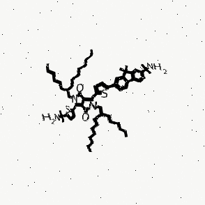 CCCCCCCCC(CCCCCC)CN1C(=O)C2=C(c3ccc(C(C)(C)N)s3)N(CC(CCCCCC)CCCCCCCC)C(=O)C2=C1c1ccc(-c2ccc3c(c2)C(C)(C)c2cc(C(C)(C)N)ccc2-3)s1